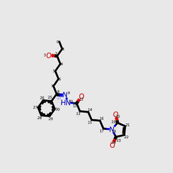 CCC(=O)CCCC/C(=N/NC(=O)CCCCCN1C(=O)C=CC1=O)c1ccccc1